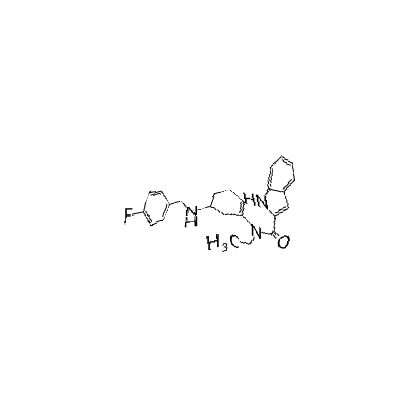 CCN(C(=O)c1cc2ccccc2[nH]1)C1=CCCC(NCc2ccc(F)cc2)C1